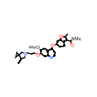 C=C1CN(CCCOc2cc3nccc(Oc4ccc5c(C(=O)NC)c(C)oc5c4)c3cc2OC)CC12CC2